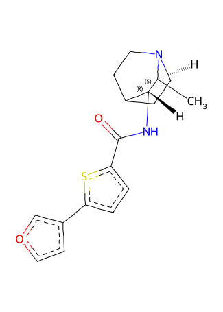 C[C@H]1[C@H](NC(=O)c2ccc(-c3ccoc3)s2)C2CCN1CC2